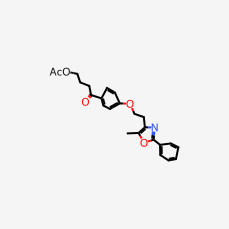 CC(=O)OCCCC(=O)c1ccc(OCCc2nc(-c3ccccc3)oc2C)cc1